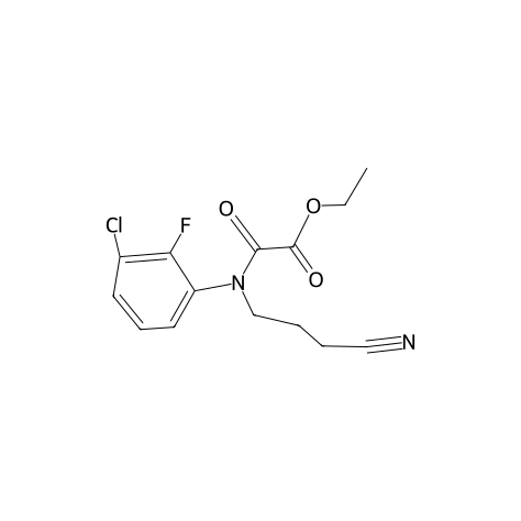 CCOC(=O)C(=O)N(CCCC#N)c1cccc(Cl)c1F